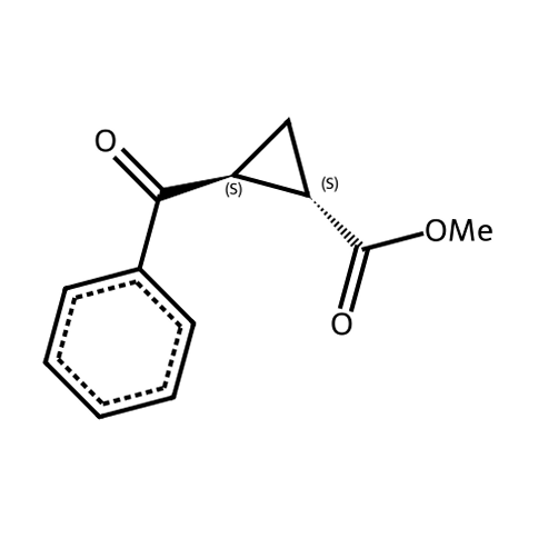 COC(=O)[C@H]1C[C@@H]1C(=O)c1ccccc1